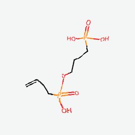 C=CCP(=O)(O)OCCCP(=O)(O)O